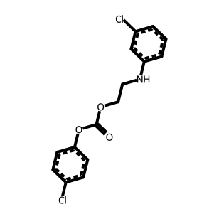 O=C(OCCNc1cccc(Cl)c1)Oc1ccc(Cl)cc1